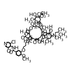 COc1ccc(C(=O)Nc2c(Cl)cncc2Cl)cc1OCCCS[C@@H]1C(=O)O[C@@]2(C)[C@H]1[C@@H](C)C(=O)[C@H](C)C[C@@](C)(OC)[C@H](O[C@@H]1O[C@H](C)C[C@H](N(C)CC(C)C)[C@H]1O)[C@@H](C)[C@H](O[C@H]1C[C@@](C)(OC)[C@@H](O)[C@H](C)O1)[C@@H](C)C(=O)O[C@@H]2I